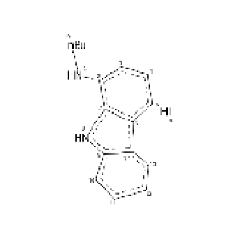 CCCCNc1cccc2c1[nH]c1ccccc12.I